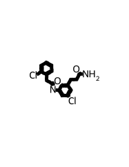 NC(=O)CCc1cc(Cl)cc2nc(Cc3ccccc3Cl)oc12